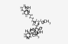 COCC(F)CN(CCCCc1ccc2c(n1)NCCC2)CCC(NC(=O)C(C)(C)c1cccnc1)C(=O)O